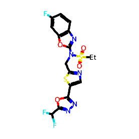 CCS(=O)(=O)N(Cc1ncc(-c2nnc(C(F)F)o2)s1)c1nc2ccc(F)cc2o1